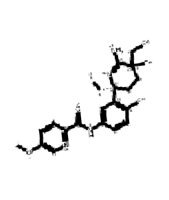 COc1ccc(C(=O)Nc2ccc(F)c([C@]3(CF)CC[C@@](F)(CF)C(N)=N3)c2)nc1